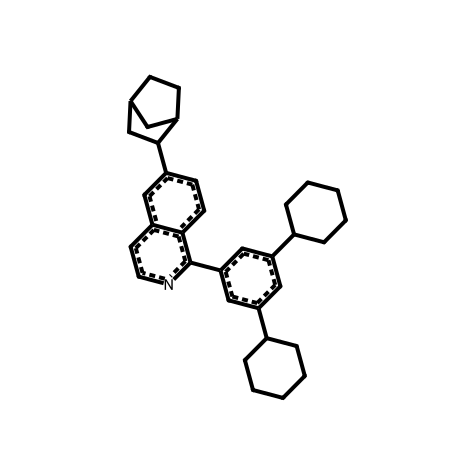 c1cc2cc(C3CC4CCC3C4)ccc2c(-c2cc(C3CCCCC3)cc(C3CCCCC3)c2)n1